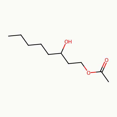 CCCCCC(O)CCOC(C)=O